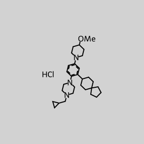 COC1CCN(c2ccc(N3CCN(CC4CC4)CC3)c(C3CCC4(CCCC4)CC3)c2)CC1.Cl